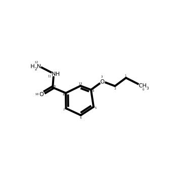 CCCOc1cccc(C(=O)NN)c1